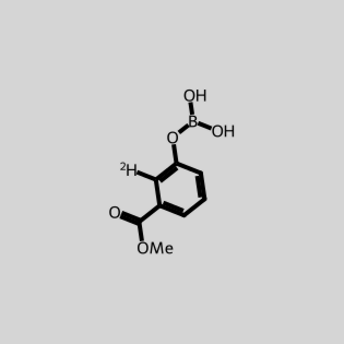 [2H]c1c(OB(O)O)cccc1C(=O)OC